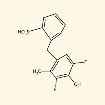 Cc1c(Cc2ccccc2S(=O)(=O)O)cc(F)c(O)c1F